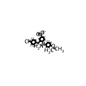 CC(C)Oc1ccc(N(N)c2ccc([N+](=O)[O-])cc2Cc2ccc(Cl)cc2)cc1